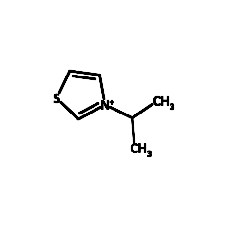 CC(C)[n+]1ccsc1